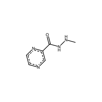 CNNC(=O)c1cnccn1